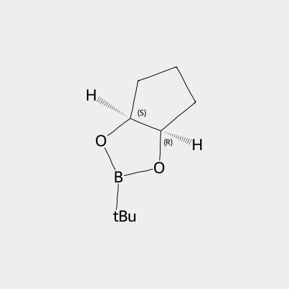 CC(C)(C)B1O[C@H]2CCC[C@H]2O1